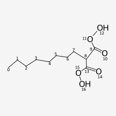 CCCCCCCCC(C(=O)OO)C(=O)OO